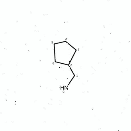 [NH]CC1CCCC1